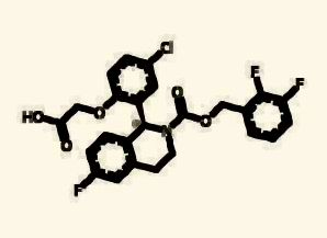 O=C(O)COc1ccc(Cl)cc1[C@@H]1c2ccc(F)cc2CCN1C(=O)OCc1cccc(F)c1F